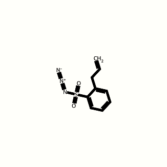 C=CCc1ccccc1S(=O)(=O)N=[N+]=[N-]